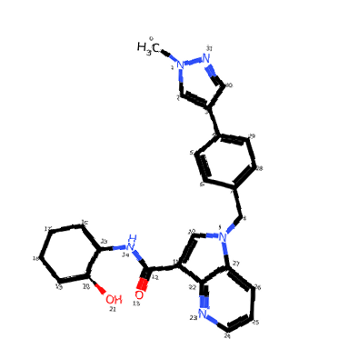 Cn1cc(-c2ccc(Cn3cc(C(=O)NC4CCCC[C@@H]4O)c4ncccc43)cc2)cn1